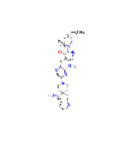 COC[C@H]1C[C@H]2COc3c(Sc4ncc(N5CCC6(CC5)Cc5ncccc5[C@H]6N)nc4N)ccnc3N2C1